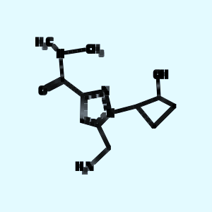 CN(C)C(=O)c1cc(CN)n(C2CCC2O)n1